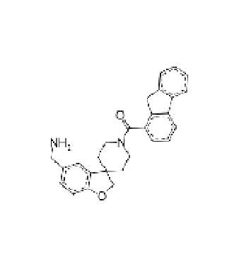 NCc1ccc2c(c1)C1(CCN(C(=O)c3cccc4c3Cc3ccccc3-4)CC1)CO2